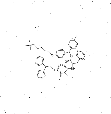 Cc1ccc(C(OC(=O)C(Cc2ccccc2)NC(=O)C(C)NC(=O)OCC2c3ccccc3-c3ccccc32)c2ccc(OCCCCC[N+](C)(C)C)cc2)cc1